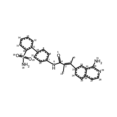 CC(=C(F)C(=O)Nc1ccc(-c2ccccc2S(N)(=O)=O)cc1)c1ccc2ccnc(N)c2c1